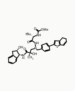 COC(=O)N[C@H](C(=O)NN(Cc1ccc(-c2cc3c(s2)C=CCC3)cc1)C[C@](C)(O)C(=O)N[C@H]1c2ccccc2C[C@H]1O)C(C)(C)C